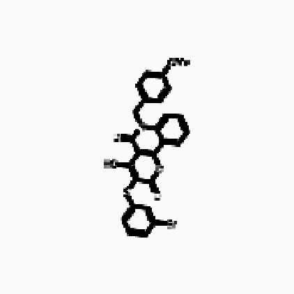 COc1ccc(Cn2c(=O)c3c(O)c(Sc4cccc(Br)c4)c(=O)oc3c3ccccc32)cc1